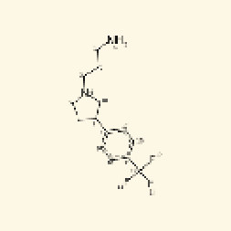 NCCCN1CCC(c2ccc(C(F)(F)F)cc2)C1